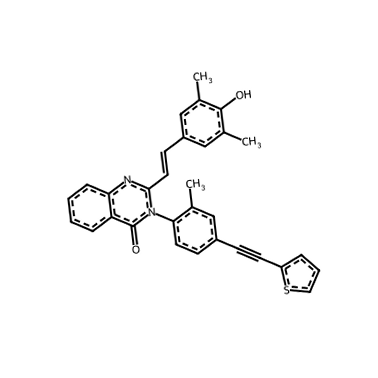 Cc1cc(C#Cc2cccs2)ccc1-n1c(/C=C/c2cc(C)c(O)c(C)c2)nc2ccccc2c1=O